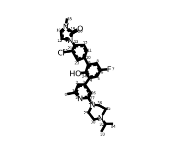 Cc1cc(-c2cc(F)cc(-c3ccc(-n4ccn(C)c4=O)c(Cl)c3)c2O)cc(N2CCN(C(C)C)CC2)n1